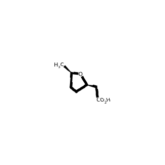 C[C@@H]1CC[C@H](CC(=O)O)O1